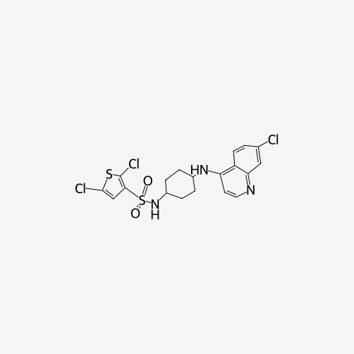 O=S(=O)(NC1CCC(Nc2ccnc3cc(Cl)ccc23)CC1)c1cc(Cl)sc1Cl